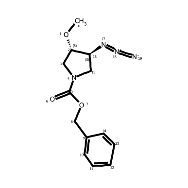 CO[C@H]1CN(C(=O)OCc2ccccc2)C[C@@H]1N=[N+]=[N-]